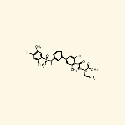 COC(=O)[C@@H](CN)NC(=O)c1c(C)cc(-c2cccc(NS(=O)(=O)c3cc(C)c(Cl)cc3C)c2)cc1C